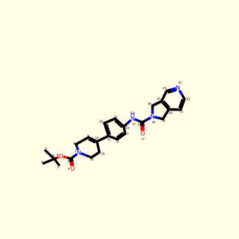 CC(C)(C)OC(=O)N1CC=C(c2ccc(NC(=O)N3Cc4ccncc4C3)cc2)CC1